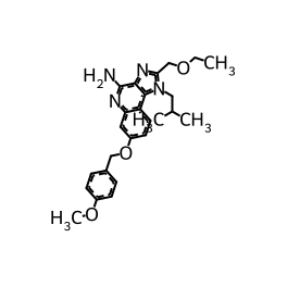 CCOCc1nc2c(N)nc3cc(OCc4ccc(OC)cc4)ccc3c2n1CC(C)C